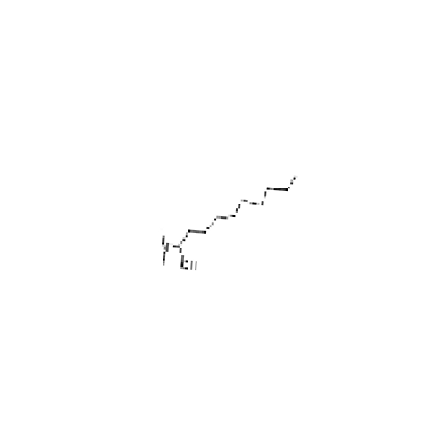 CCCCCCCCCC(O)[N+](C)(C)C